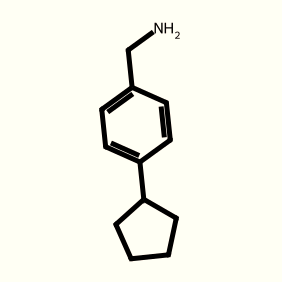 NCc1ccc([C]2CCCC2)cc1